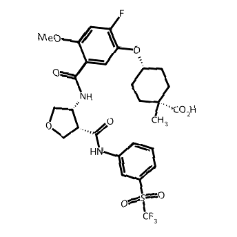 COc1cc(F)c(O[C@H]2CC[C@@](C)(C(=O)O)CC2)cc1C(=O)N[C@H]1COC[C@H]1C(=O)Nc1cccc(S(=O)(=O)C(F)(F)F)c1